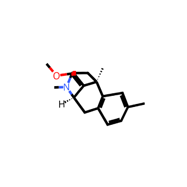 COC=C1[C@H]2Cc3ccc(C)cc3[C@]1(C)CCN2C